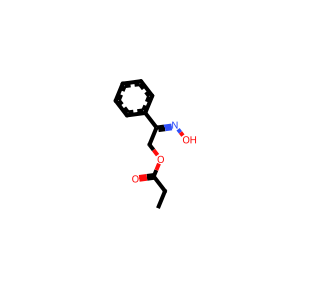 CCC(=O)OCC(=NO)c1ccccc1